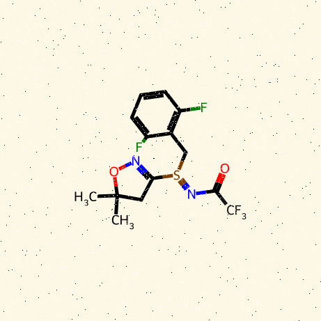 CC1(C)CC(/S(Cc2c(F)cccc2F)=N/C(=O)C(F)(F)F)=NO1